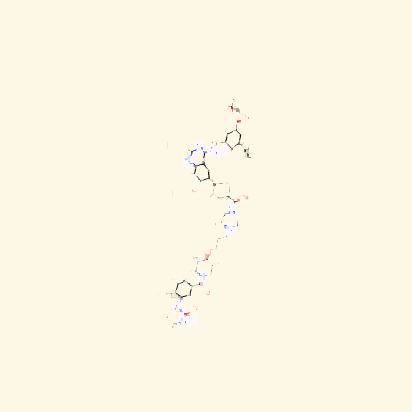 COc1cc2nc(C)nc(N[C@H](C)c3cc(C(=O)OC(C)(C)C)cc(C(F)(F)F)c3)c2cc1C1CCC(C(=O)N2CCN(CCCOC3CCN(C(=O)c4ccc(Cl)c(N5CCCNC5=O)c4)CC3)CC2)CC1